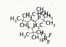 CC(C)(C)c1cc([PH+](C(C)(C)C)C(C)(C)C)cc(C(C)(C)C)c1.F[B-](F)(F)F